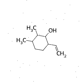 C=CC1CCC(C)C(C)C1O